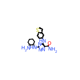 NC(=O)c1nnc(N[C@H]2CCCC[C@@H]2N)nc1Nc1ccc2sccc2c1